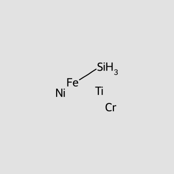 [Cr].[Ni].[SiH3][Fe].[Ti]